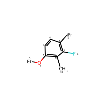 CCOc1ccc(C(C)C)c(F)c1C